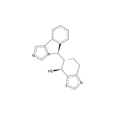 O[C@@H]1c2scnc2CC[C@H]1[C@@H]1c2ccccc2-c2cncn21